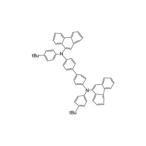 CC(C)(C)c1ccc(N(c2ccc(-c3ccc(N(c4ccc(C(C)(C)C)cc4)c4cc5ccccc5c5ccccc45)cc3)cc2)c2cc3ccccc3c3ccccc23)cc1